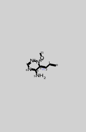 C=C/C=C1/C(N)=NC=NN1OC